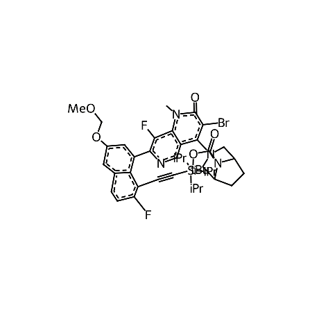 COCOc1cc(-c2ncc3c(N4CC5CCC(C4)N5C(=O)OC(C)(C)C)c(Br)c(=O)n(C)c3c2F)c2c(C#C[Si](C(C)C)(C(C)C)C(C)C)c(F)ccc2c1